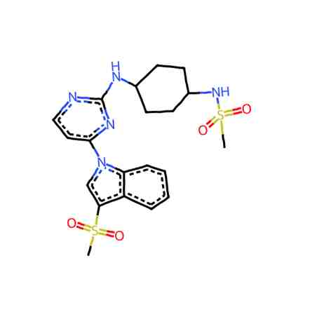 CS(=O)(=O)NC1CCC(Nc2nccc(-n3cc(S(C)(=O)=O)c4ccccc43)n2)CC1